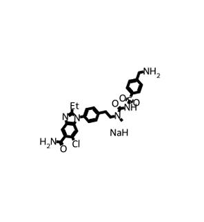 CCc1nc2cc(C(N)=O)c(Cl)cc2n1-c1ccc(CCN(C)C(=O)NS(=O)(=O)c2ccc(CN)cc2)cc1.[NaH]